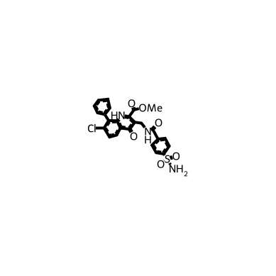 COC(=O)c1[nH]c2c(-c3ccccc3)c(Cl)ccc2c(=O)c1CNC(=O)c1ccc(S(N)(=O)=O)cc1